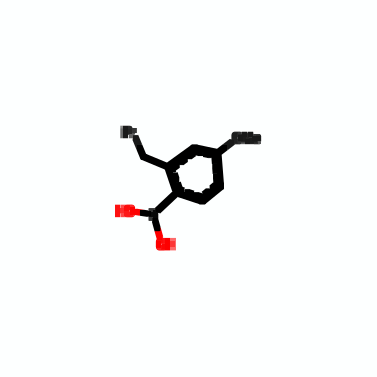 COc1ccc(B(O)O)c(CC(C)C)c1